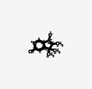 CC1=[N+]([O-])c2cnc(Cl)cc2C1(C)C